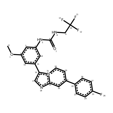 COc1cc(NC(=O)NCC(F)(F)F)cc(-c2cnc3cc(-c4ccc(F)cc4)ccn23)c1